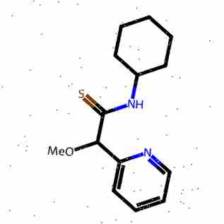 COC(C(=S)NC1CCCCC1)c1ccccn1